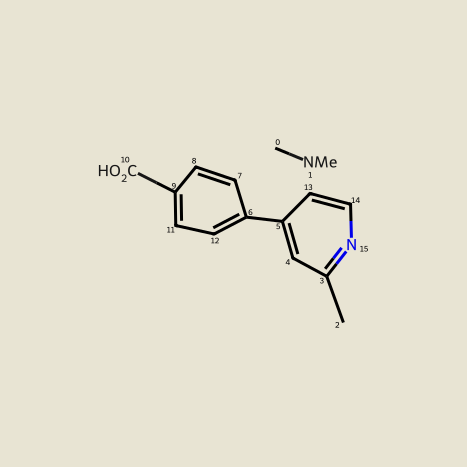 CNC.Cc1cc(-c2ccc(C(=O)O)cc2)ccn1